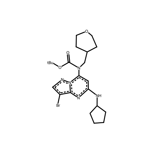 CC(C)(C)OC(=O)N(CC1CCOCC1)c1cc(NC2CCCC2)nc2c(Br)cnn12